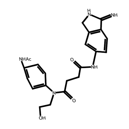 CC(=O)Nc1ccc(N(CCO)C(=O)CCC(=O)Nc2ccc3c(c2)CNC3=N)cc1